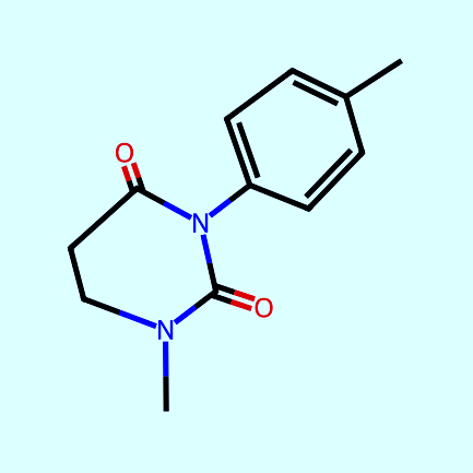 Cc1ccc(N2C(=O)CCN(C)C2=O)cc1